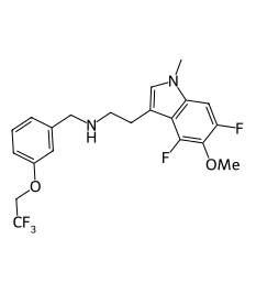 COc1c(F)cc2c(c(CCNCc3cccc(OCC(F)(F)F)c3)cn2C)c1F